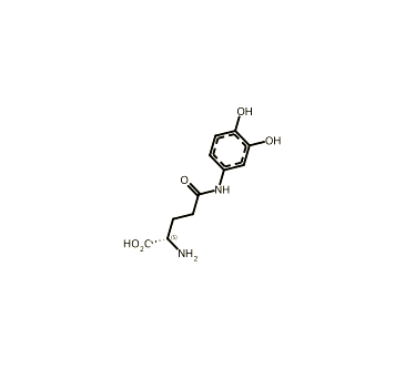 N[C@@H](CCC(=O)Nc1ccc(O)c(O)c1)C(=O)O